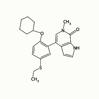 CCSc1ccc(OC2CCCCC2)c(-c2cn(C)c(=O)c3[nH]ccc23)c1